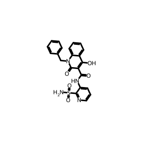 NS(=O)(=O)c1ncccc1NC(=O)c1c(O)c2ccccc2n(Cc2ccccc2)c1=O